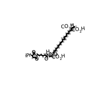 CC(C)C1CC(=O)N(CCCCCC(=O)NCC(NC(=O)CCCCCCCCCCCCCCCCCC(C)(C(=O)O)C(=O)O)C(=O)O)C1=O